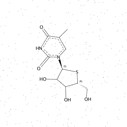 Cc1cn([C@H]2S[C@H](CO)C(O)C2O)c(=O)[nH]c1=O